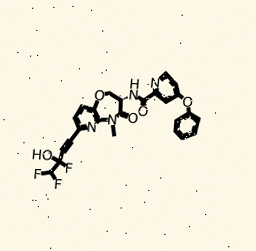 CN1C(=O)[C@@H](NC(=O)c2cc(Oc3ccccc3)ccn2)COc2ccc(C#CC(O)(F)C(F)F)nc21